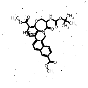 COC(=O)c1ccc2c(CN3C(=O)C(NC(=O)OC(C)(C)C)COc4c(C(=O)OC)cccc43)c(OC)ccc2c1